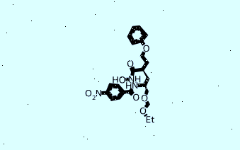 CCOCOC[C@H](C[C@H](CCOc1ccccc1)C(=O)NO)NC(=O)c1ccc([N+](=O)[O-])cc1